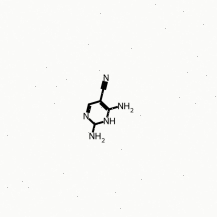 N#CC1=C(N)N[C](N)N=C1